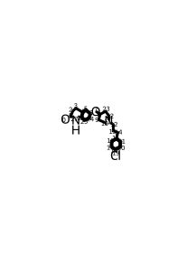 O=C1CCc2cc(OC3CCN(CCCc4ccc(Cl)cc4)CC3)ccc2N1